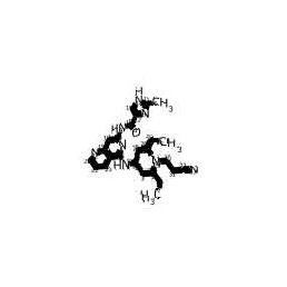 CCC1CC(Nc2nc(NC(=O)c3c[nH]c(C)n3)cc3ncccc23)CC(CC)N1CCC#N